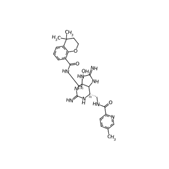 Cc1ccc(C(=O)NC[C@@H]2NC(=N)N3CC(NC(=O)c4cccc5c4OCCC5(C)C)[C@@H](O)C34NC(=N)NC24)nc1